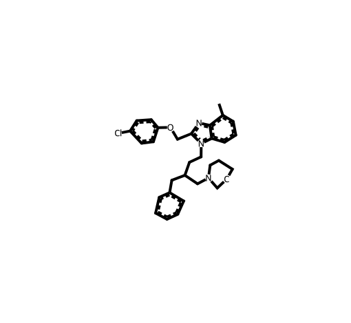 Cc1cccc2c1nc(COc1ccc(Cl)cc1)n2CCC(Cc1ccccc1)CN1CCCCC1